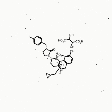 O=C(O)C(O)C(O)C(=O)O.O=C1C(Cc2ccc(F)cc2)CCN1[C@H]1CCC2(O)[C@H]3Cc4ccc(O)c5c4[C@@]2(CCN3CC2CC2)[C@H]1O5